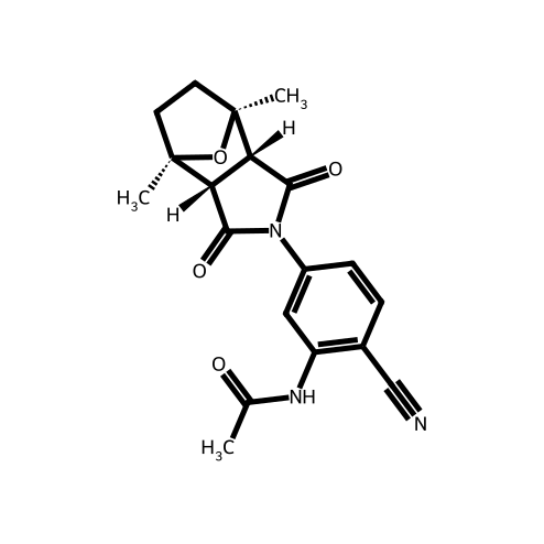 CC(=O)Nc1cc(N2C(=O)[C@@H]3[C@H](C2=O)[C@@]2(C)CC[C@]3(C)O2)ccc1C#N